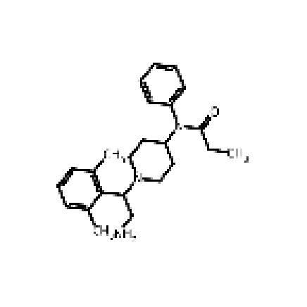 CCC(=O)N(c1ccccc1)C1CCN(C(CN)c2c(C)cccc2C)CC1